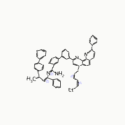 CC/C=C\C=C/Cc1cc(-c2cccc(-c3cccc(/C(N)=N/C(=C\C(C)c4ccc(-c5ccccc5)cc4)c4ccccc4)c3)c2)nc2c1ccc1ccc(-c3ccccc3)nc12